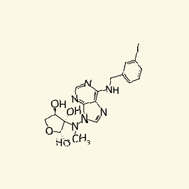 CN(n1cnc2c(NCc3cccc(I)c3)ncnc21)[C@]1(O)[C@H](O)CO[C@H]1O